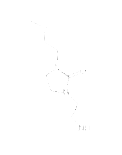 COCCN1CCN(CCN)C1=O